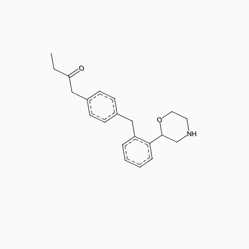 CCC(=O)Cc1ccc(Cc2ccccc2C2CNCCO2)cc1